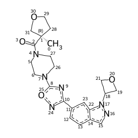 C[C@@]1(C(=O)N2CCN(c3nc(-c4ccc5cnn(C6COC6)c5c4)no3)CC2)CCOC1